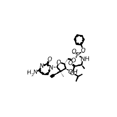 C#C[C@]1(C)[C@H](O)[C@@H](COP(=O)(N[C@@H](C)C(=O)OC(C)C)Oc2ccccc2)O[C@H]1n1ccc(N)nc1=O